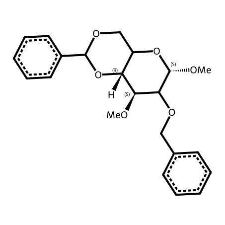 CO[C@H]1OC2COC(c3ccccc3)O[C@H]2[C@H](OC)C1OCc1ccccc1